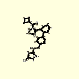 CCc1nnc(NCc2ccc(-c3ccccc3-c3nnnn3C(=O)C3CCC3)cc2)s1